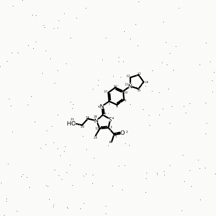 CC(=O)c1s/c(=N\c2ccc(N3CCCC3)cc2)n(CCO)c1C